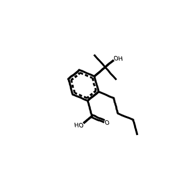 CCCCc1c(C(=O)O)cccc1C(C)(C)O